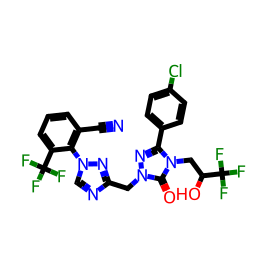 N#Cc1cccc(C(F)(F)F)c1-n1cnc(Cn2nc(-c3ccc(Cl)cc3)n(CC(O)C(F)(F)F)c2=O)n1